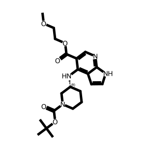 COCCOC(=O)c1cnc2[nH]ccc2c1N[C@@H]1CCCN(C(=O)OC(C)(C)C)C1